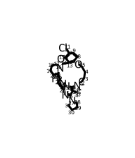 CN1CCCCOc2ccc(Cl)cc2C(=O)N2CCCC[C@H]2c2cc3nc(N4CCCC4)c(F)c1n3n2